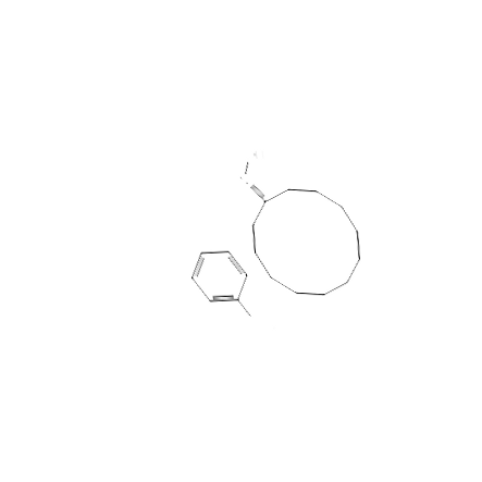 Cc1ccccc1.ON=C1CCCCCCCCCCC1